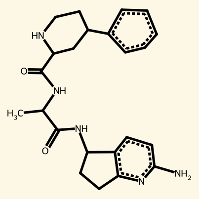 CC(NC(=O)C1CC(c2ccccc2)CCN1)C(=O)NC1CCc2nc(N)ccc21